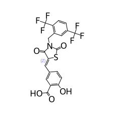 O=C(O)c1cc(/C=C2\SC(=O)N(Cc3cc(C(F)(F)F)ccc3C(F)(F)F)C2=O)ccc1O